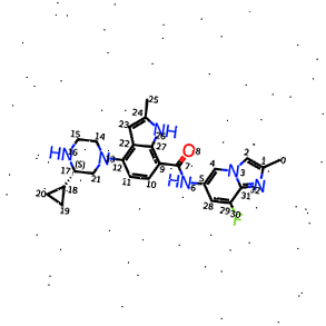 Cc1cn2cc(NC(=O)c3ccc(N4CCN[C@@H](C5CC5)C4)c4cc(C)[nH]c34)cc(F)c2n1